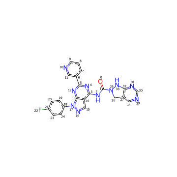 O=C(Nc1nc(-c2cccnc2)nc2c1cnn2-c1ccc(F)cc1)N1Cc2cncnc2N1